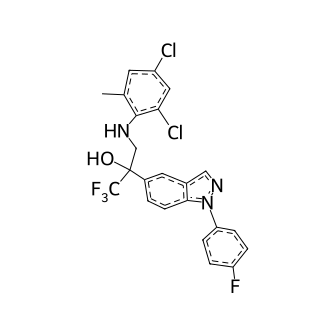 Cc1cc(Cl)cc(Cl)c1NCC(O)(c1ccc2c(cnn2-c2ccc(F)cc2)c1)C(F)(F)F